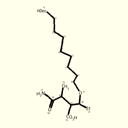 CCCCCCCCCCCCCCCCCCOC(CC)C(C(=O)O)C(C)C(N)=O